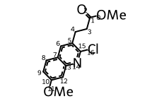 COC(=O)CCc1cc2ccc(OC)cc2nc1Cl